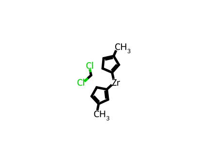 CC1=CC[C]([Zr][C]2=CC(C)=CC2)=C1.ClCCl